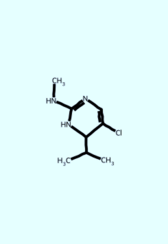 CNC1=NC=C(Cl)C(C(C)C)N1